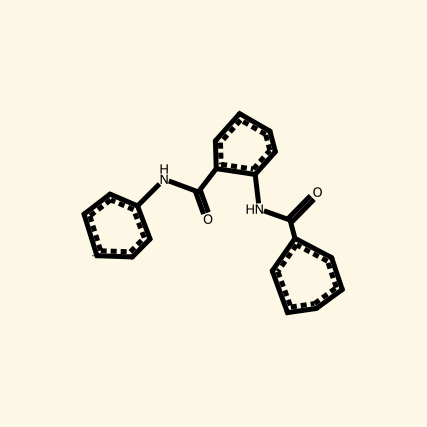 O=C(Nc1ccccc1C(=O)Nc1cc[c]cc1)c1ccccc1